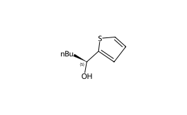 CCCC[C@H](O)c1cccs1